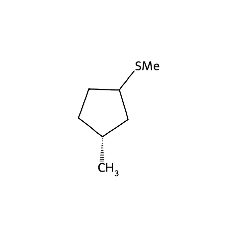 CSC1CC[C@@H](C)C1